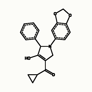 O=C(C1=C(O)C(c2ccccc2)N(c2ccc3c(c2)OCO3)C1)C1CC1